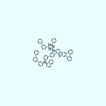 c1ccc(-c2cccc(-c3cccc(N(c4cccc(-c5ccc6c7c8sc9cc%10c%11ccccc%11c%11ccccc%11c%10cc9c8ccc7n(-c7nc(-c8ccccc8)nc(-c8cccc(-c9ccccc9)c8)n7)c6c5)c4)c4cccc5ccccc45)c3)c2)cc1